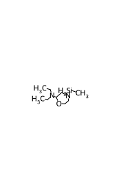 CCN(CC)C1CN([SiH2]C)CCO1